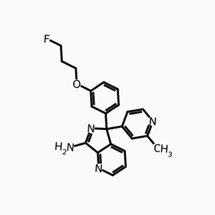 Cc1cc(C2(c3cccc(OCCCF)c3)N=C(N)c3ncccc32)ccn1